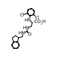 O=C(NCC1CCc2ccccc21)NC[C@H](Nc1c(Cl)cccc1Cl)C(=O)O